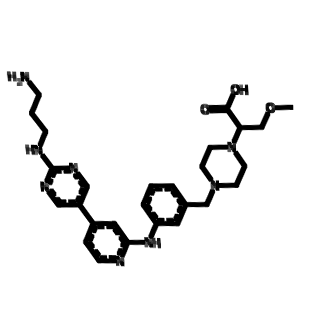 COCC(C(=O)O)N1CCN(Cc2cccc(Nc3cc(-c4cnc(NCCCN)nc4)ccn3)c2)CC1